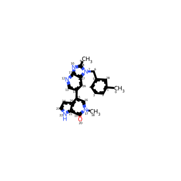 Cc1cccc(Cn2c(C)nc3ncc(-c4cn(C)c(=O)c5[nH]ccc45)cc32)c1